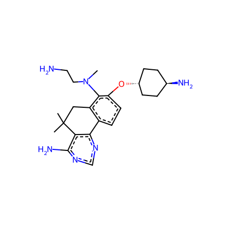 CN(CCN)c1c(O[C@H]2CC[C@H](N)CC2)ccc2c1CC(C)(C)c1c(N)ncnc1-2